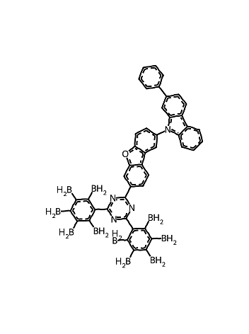 Bc1c(B)c(B)c(-c2nc(-c3ccc4c(c3)oc3ccc(-n5c6ccccc6c6ccc(-c7ccccc7)cc65)cc34)nc(-c3c(B)c(B)c(B)c(B)c3B)n2)c(B)c1B